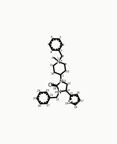 C[N+]1(Cc2ccccc2)CCC(N2CC(c3cccs3)N(Cc3ccccc3)C2=O)CC1